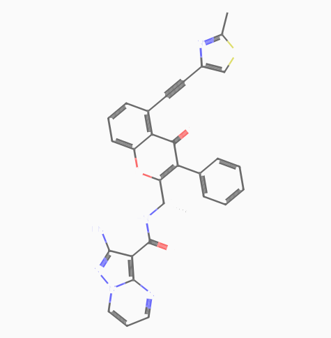 Cc1nc(C#Cc2cccc3oc([C@H](C)NC(=O)c4c(N)nn5cccnc45)c(-c4ccccc4)c(=O)c23)cs1